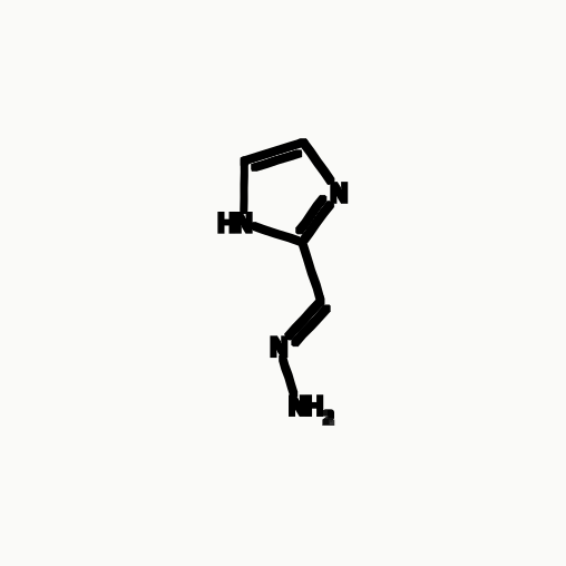 NN=Cc1ncc[nH]1